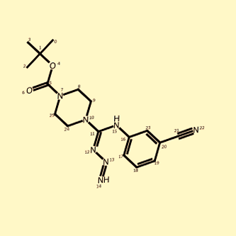 CC(C)(C)OC(=O)N1CCN(/C(=N/N=N)Nc2cccc(C#N)c2)CC1